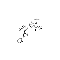 C[C@H](CC=C(C(=O)O)c1cn(-c2ccccn2)cn1)CN(C(=O)OC(C)(C)C)C(=O)OC(C)(C)C